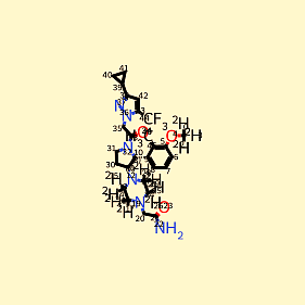 [2H]C([2H])([2H])Oc1cccc([C@@H]2[C@H](N3C([2H])([2H])C([2H])([2H])N(CC(N)=O)C([2H])([2H])C3([2H])[2H])CCN2C(=O)Cn2nc(C3CC3)cc2C(F)(F)F)c1C